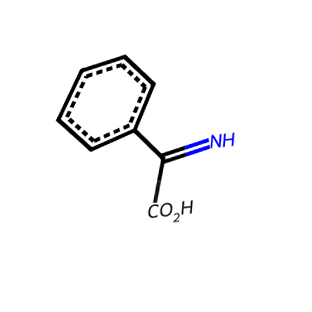 N=C(C(=O)O)c1ccccc1